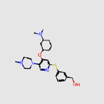 CN1CCN(c2cnc(Sc3cccc(CO)c3)cc2OC2CCCC(N(C)C)C2)CC1